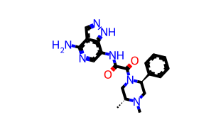 C[C@@H]1CN(C(=O)C(=O)Nc2cnc(N)c3cn[nH]c23)[C@@H](c2ccccc2)CN1C